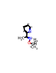 CC(=NO[SiH](C)C)c1ccccn1